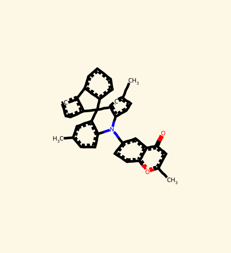 Cc1ccc2c(c1)C1(c3ccccc3-c3ccccc31)c1cc(C)ccc1N2c1ccc2oc(C)cc(=O)c2c1